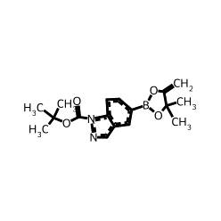 C=C1OB(c2ccc3c(cnn3C(=O)OC(C)(C)C)c2)OC1(C)C